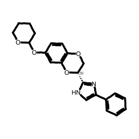 c1ccc(-c2c[nH]c([C@H]3COc4ccc(OC5CCCCO5)cc4O3)n2)cc1